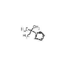 CC(C)(C)n1[c]ccc1